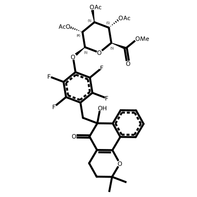 COC(=O)[C@H]1O[C@@H](Oc2c(F)c(F)c(CC3(O)C(=O)C4=C(OC(C)(C)CC4)c4ccccc43)c(F)c2F)[C@H](OC(C)=O)[C@@H](OC(C)=O)[C@@H]1OC(C)=O